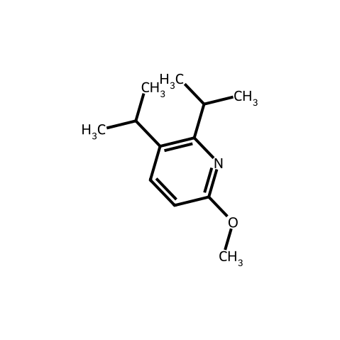 COc1ccc(C(C)C)c(C(C)C)n1